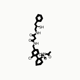 CC(=O)NS(=O)(=O)c1ccccc1-c1ccc(CNC(=O)CC(=O)NC[C@H](S)Cc2ccccc2)cc1Cl